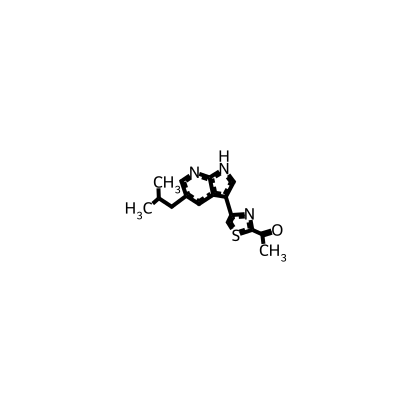 CC(=O)c1nc(-c2c[nH]c3ncc(CC(C)C)cc23)cs1